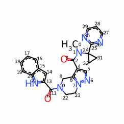 CN(C(=O)c1cnn2c1CN(C(=O)c1cc3ccccc3[nH]1)CC2)C1(c2ncccn2)CC1